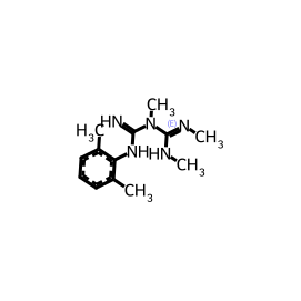 C/N=C(\NC)N(C)C(=N)Nc1c(C)cccc1C